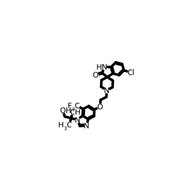 CC(C)(CO)n1cnc2cc(OCCN3CCC4(CC3)C(=O)Nc3ccc(Cl)cc34)cc(C(F)(F)F)c21